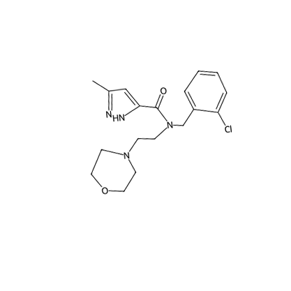 Cc1cc(C(=O)N(CCN2CCOCC2)Cc2ccccc2Cl)[nH]n1